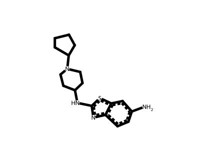 Nc1ccc2nc(NC3CCN(C4CCCC4)CC3)sc2c1